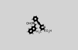 Cc1cc(C#Cc2ccccc2N(C=O)Cc2ccc3ccccc3c2)cnc1C(=O)O